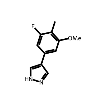 COc1cc(-c2cn[nH]c2)cc(F)c1C